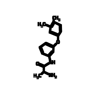 Cc1ccc(Oc2cccc(NC(=O)C(C)N)c2)cc1C